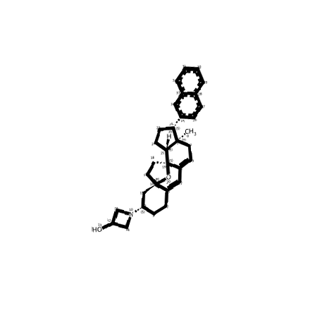 C[C@]12CC=C3C=C4CC[C@H](N5CC(O)C5)C[C@]45CC[C@]3(O5)[C@@H]1CC[C@@H]2c1ccc2ccccc2c1